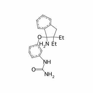 CCC1(CC)Cc2ccccc2C1(N)Oc1cccc(NC(N)=O)c1